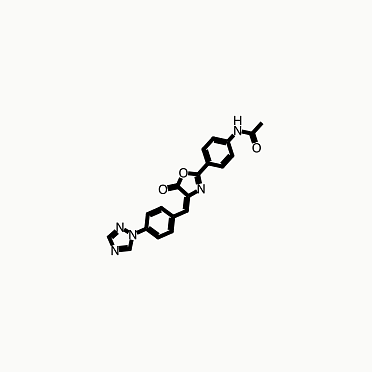 CC(=O)Nc1ccc(C2=NC(=Cc3ccc(-n4cncn4)cc3)C(=O)O2)cc1